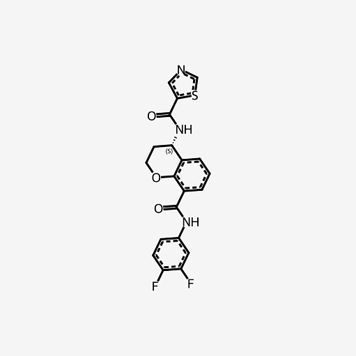 O=C(N[C@H]1CCOc2c(C(=O)Nc3ccc(F)c(F)c3)cccc21)c1cncs1